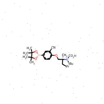 CC(C)C[C@@](C)(COc1ccc(B2OC(C)(C)C(C)(C)O2)cc1C#N)N(C(=O)O)C(C)(C)C